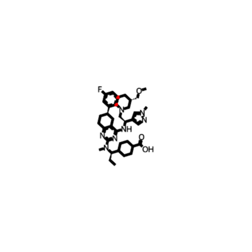 CC[C@H](C1CCC(C(=O)O)CC1)N(C)c1nc2c(c(N[C@@H](CN3CCC[C@H](COC)C3)c3cnn(C)c3)n1)C[C@H](c1cccc(F)c1)CC2